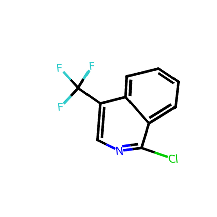 FC(F)(F)c1cnc(Cl)c2ccccc12